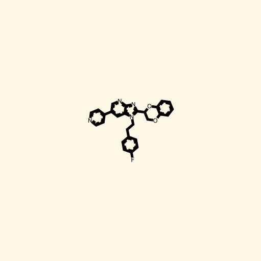 Fc1ccc(CCn2c(C3COc4ccccc4O3)nc3ncc(-c4ccncc4)cc32)cc1